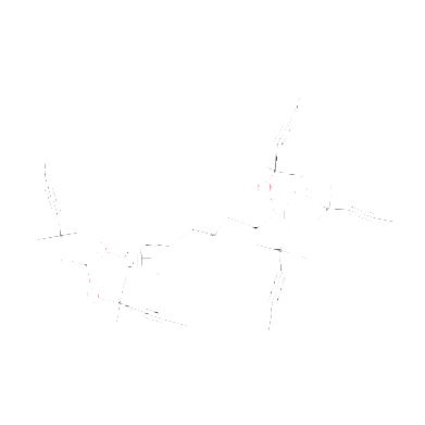 CC#CC(C)(C)OC(O[SiH2]CCCCCC[Si](OC(C)(C)C#CC)(OC(C)(C)C#CC)OC(C)(C)C#CC)OC(C)(C)C#CC